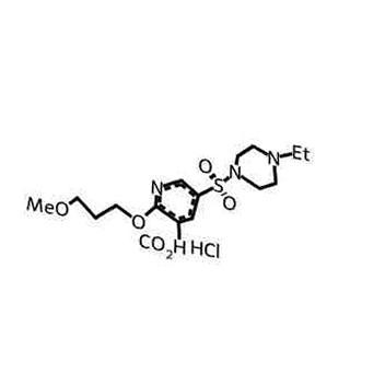 CCN1CCN(S(=O)(=O)c2cnc(OCCCOC)c(C(=O)O)c2)CC1.Cl